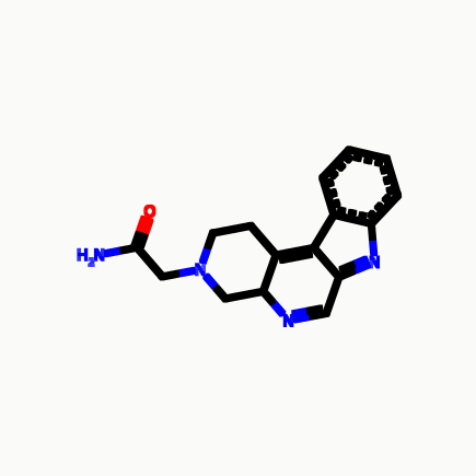 NC(=O)CN1CCC2=C3C(=Nc4ccccc43)C=NC2C1